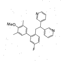 COc1c(C)cc(-c2cc(F)ccc2CC(c2cccnc2)c2cccnc2)cc1C